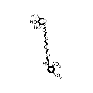 N[C@@H]1CO[C@H](COCCOCCOCCOCCNc2ccc([N+](=O)[O-])cc2[N+](=O)[O-])[C@H](O)[C@@H]1O